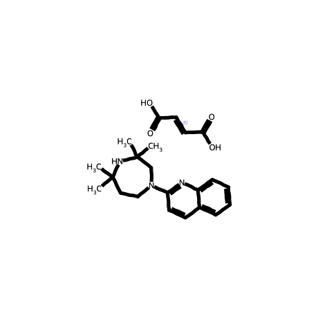 CC1(C)CCN(c2ccc3ccccc3n2)CC(C)(C)N1.O=C(O)/C=C/C(=O)O